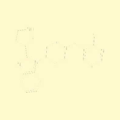 Clc1ncccc1CN1CCC(n2c(C3CCNC3)nc3ccccc32)CC1